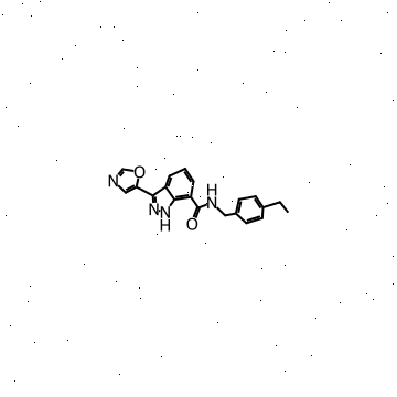 CCc1ccc(CNC(=O)c2cccc3c(-c4cnco4)n[nH]c23)cc1